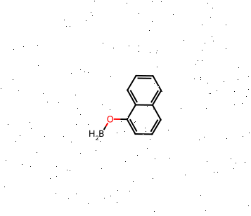 BOc1cccc2ccccc12